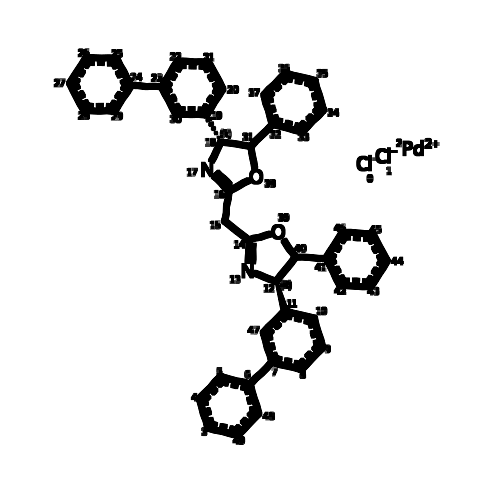 [Cl-].[Cl-].[Pd+2].c1ccc(-c2cccc([C@H]3N=C(CC4=N[C@H](c5cccc(-c6ccccc6)c5)C(c5ccccc5)O4)OC3c3ccccc3)c2)cc1